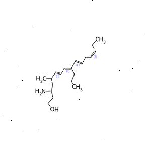 CC/C=C\C/C=C/C(=C/C=C/C(C)CC(N)CCO)CCC